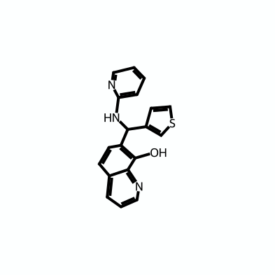 Oc1c(C(Nc2ccccn2)c2ccsc2)ccc2cccnc12